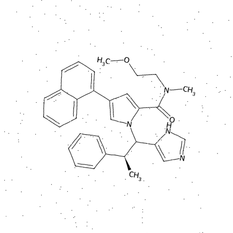 COCCN(C)C(=O)c1cc(-c2cccc3ccccc23)cn1C(c1cnc[nH]1)[C@@H](C)c1ccccc1